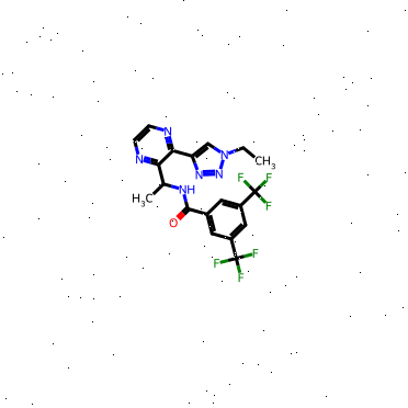 CCn1cc(-c2nccnc2C(C)NC(=O)c2cc(C(F)(F)F)cc(C(F)(F)F)c2)nn1